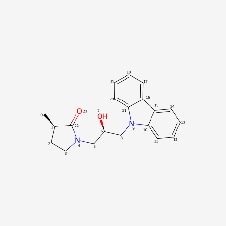 C[C@@H]1CCN(C[C@@H](O)Cn2c3ccccc3c3ccccc32)C1=O